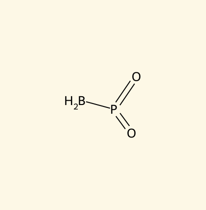 BP(=O)=O